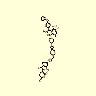 N=C(c1ccc(Oc2ccccc2)cc1)c1c(N)ncnc1NC1CCN(C2CC3(CCN(CC4CN(c5ccc6c(c5)C(=O)N(C5CCC(=O)NC5=O)C6=O)C4)CC3)C2)CC1